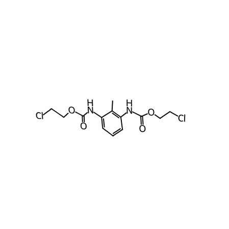 Cc1c(NC(=O)OCCCl)cccc1NC(=O)OCCCl